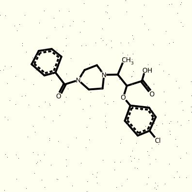 CC(C(Oc1ccc(Cl)cc1)C(=O)O)N1CCN(C(=O)c2ccccc2)CC1